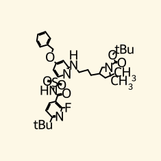 CC(C)(C)OC(=O)N1CC(CCCNc2cc(OCc3ccccc3)cc(S(=O)(=O)NC(=O)c3ccc(C(C)(C)C)nc3F)n2)CC1(C)C